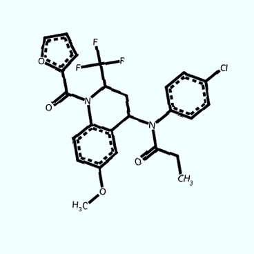 CCC(=O)N(c1ccc(Cl)cc1)C1CC(C(F)(F)F)N(C(=O)c2ccco2)c2ccc(OC)cc21